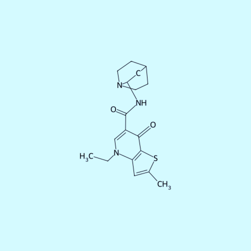 CCn1cc(C(=O)NC2CC3CCN2CC3)c(=O)c2sc(C)cc21